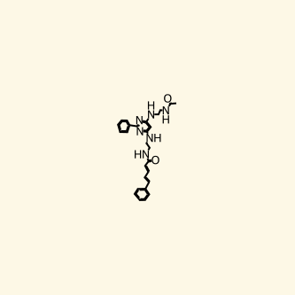 CC(=O)NCCNc1cc(NCCNC(=O)C=CC=Cc2ccccc2)nc(-c2ccccc2)n1